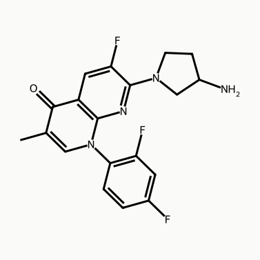 Cc1cn(-c2ccc(F)cc2F)c2nc(N3CCC(N)C3)c(F)cc2c1=O